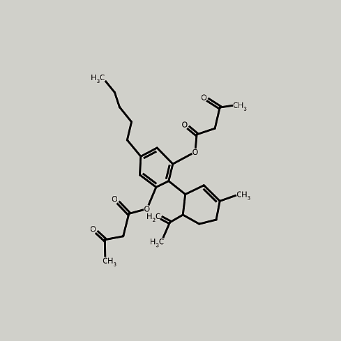 C=C(C)C1CCC(C)=CC1c1c(OC(=O)CC(C)=O)cc(CCCCC)cc1OC(=O)CC(C)=O